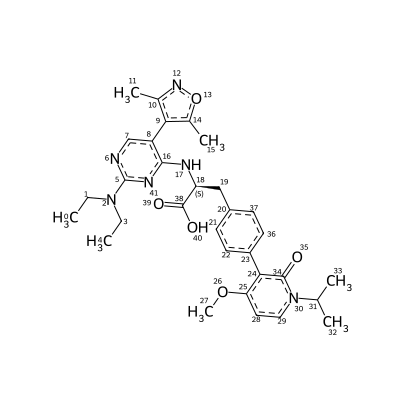 CCN(CC)c1ncc(-c2c(C)noc2C)c(N[C@@H](Cc2ccc(-c3c(OC)ccn(C(C)C)c3=O)cc2)C(=O)O)n1